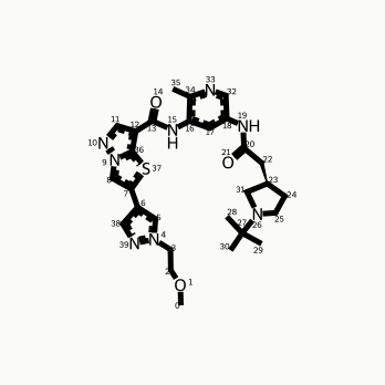 COCCn1cc(-c2cn3ncc(C(=O)Nc4cc(NC(=O)C[C@H]5CCN(C(C)(C)C)C5)cnc4C)c3s2)cn1